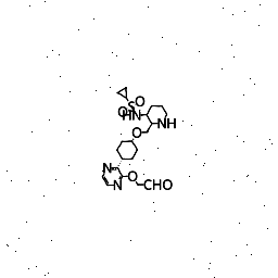 O=CCOc1nccnc1[C@H]1CC[C@@H](OC[C@@H]2NCCC[C@@H]2NS(=O)(=O)C2CC2)CC1